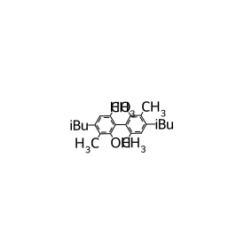 CCC(C)c1cc(C)c(-c2c(C)cc(C(C)CC)c(C)c2O)c(O)c1C